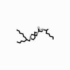 CCCCCCC(CCCC)CN1CCC2(CC1)CN(C(=O)CNC(C)CCCCC)C2